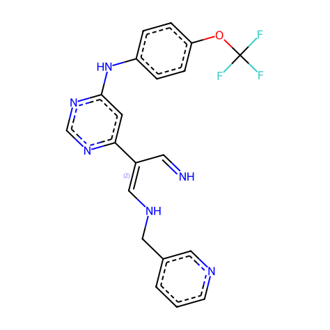 N=C/C(=C\NCc1cccnc1)c1cc(Nc2ccc(OC(F)(F)F)cc2)ncn1